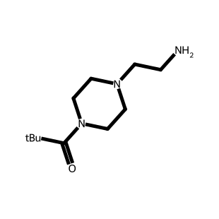 CC(C)(C)C(=O)N1CCN(CCN)CC1